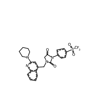 O=C1CN(Cc2cc(N3CCCCC3)nc3ccccc23)C(=O)N1c1ccc(S(=O)(=O)C(F)(F)F)cc1